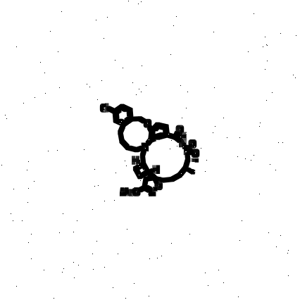 COC1=NO[C@]2(CCC[C@H](C)[C@@H](C)S(=O)(=O)NC(=O)c3ccc4c(c3)N(CCCCc3cc(Cl)ccc3CO4)C[C@@H]3CC[C@H]32)C1